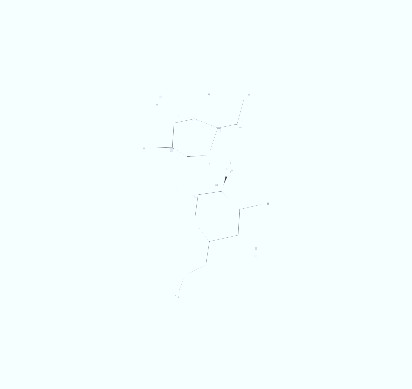 NOCC1O[C@H](O[C@H]2OC(CO)[C@@H](O)[C@@H](O)C2O)[C@@H](N=O)C(O)[C@@H]1O